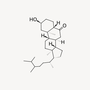 CC(C)C(C)CC[C@@H](C)[C@H]1CC[C@H]2[C@@H]3CC(=O)[C@H]4CC[C@H](O)C[C@]4(C)[C@H]3CC[C@]12C